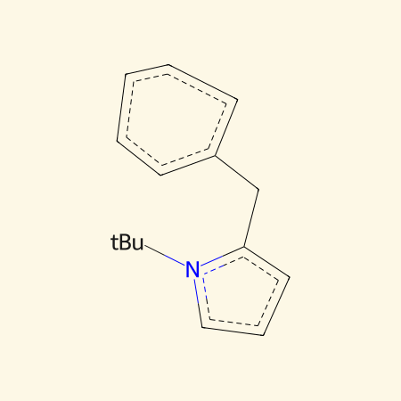 CC(C)(C)n1cccc1Cc1ccccc1